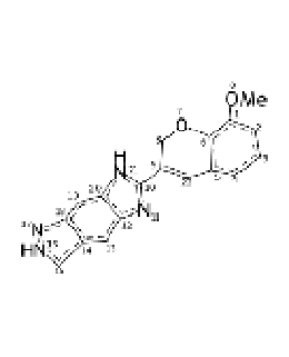 COc1cccc2c1OCC(c1nc3cc4c[nH]nc4cc3[nH]1)=C2